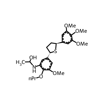 CCCOc1c(NC(C)O)cc([C@@H]2CC[C@@H](c3cc(OC)c(OC)c(OC)c3)S2)cc1OC